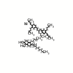 CCCCC(C=Nc1ccc(CCCC)c(CCCC)c1)=Nc1ccc(CCCC)c(CCCC)c1.CCCCCCCCNc1ccc2c(O)c(O)ccc2c1CCCCC.[Ni]